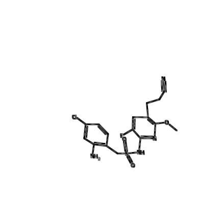 COc1nc(NS(=O)(=O)Cc2ccc(Cl)cc2N)c(F)cc1CCC#N